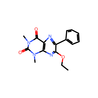 CCOc1nc2c(nc1-c1ccccc1)c(=O)n(C)c(=O)n2C